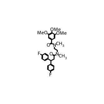 COc1cc(C(=O)N(C)CCN(C)C(=O)CC(c2ccc(F)cc2)c2ccc(F)cc2)cc(OC)c1OC